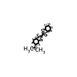 CC(C)c1ccc2c(c1)SC(=C1Sc3ccccc3S1)S2